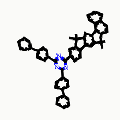 CC1(C)c2cc(-c3nc(-c4ccc(-c5ccccc5)cc4)nc(-c4ccc(-c5ccccc5)cc4)n3)ccc2-c2cc3c(cc21)-c1c(ccc2ccccc12)C3(C)C